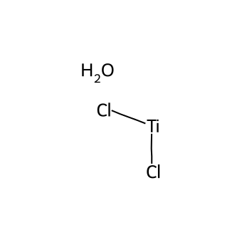 O.[Cl][Ti][Cl]